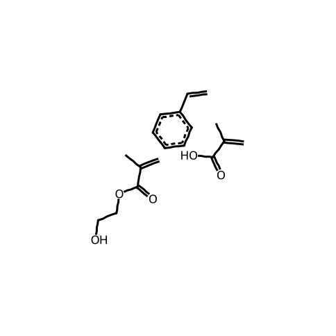 C=C(C)C(=O)O.C=C(C)C(=O)OCCO.C=Cc1ccccc1